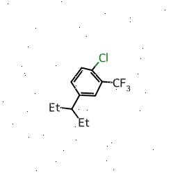 CCC(CC)c1ccc(Cl)c(C(F)(F)F)c1